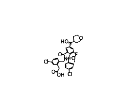 CO[C@]1(c2ccc(Cl)cc2)c2c(F)cc([C@@H](O)C3CCOCC3)cc2C(=O)N1Cc1ccc(Cl)cc1CC(=O)O